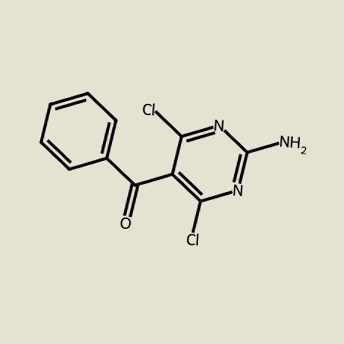 Nc1nc(Cl)c(C(=O)c2ccccc2)c(Cl)n1